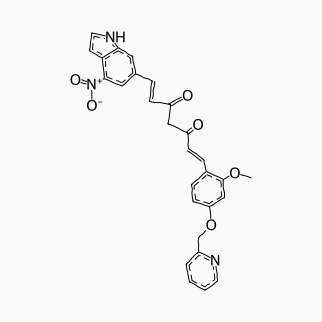 COc1cc(OCc2ccccn2)ccc1C=CC(=O)CC(=O)C=Cc1cc([N+](=O)[O-])c2cc[nH]c2c1